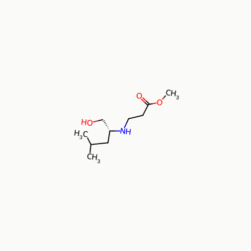 COC(=O)CCN[C@@H](CO)CC(C)C